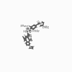 COc1cc(C(=O)N2CC[C@@H](OC)C2)cc(OC)c1S(=O)(=O)Nc1noc2c1CC1(CC1)c1ccc(N3CCC3)cc1-2